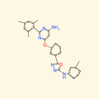 Cc1cccc(Nc2nnc(-c3cccc(Oc4cc(N)nc(-c5c(C)cc(C)cc5C)n4)c3)o2)c1